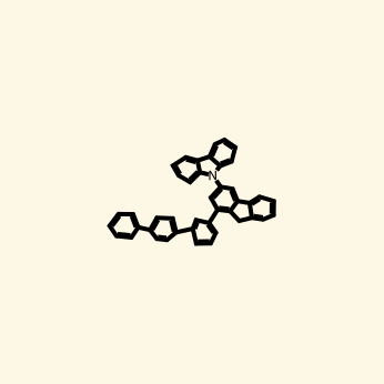 c1ccc(-c2ccc(-c3cccc(-c4cc(-n5c6ccccc6c6ccccc65)cc5c4Cc4ccccc4-5)c3)cc2)cc1